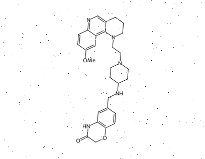 COc1ccc2ncc3c(c2c1)N(CCN1CCC(NCc2ccc4c(c2)NC(=O)CO4)CC1)CCC3